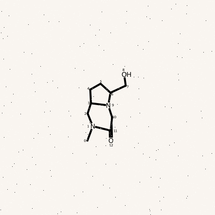 CN1CC2CCC(CO)N2CC1=O